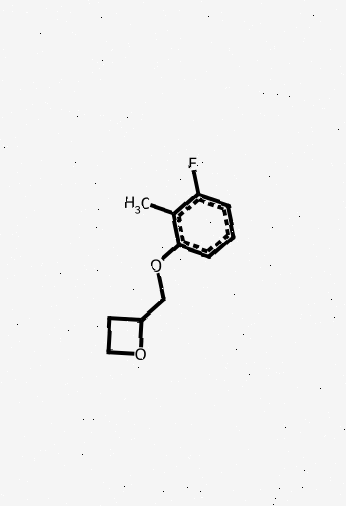 Cc1c(F)cccc1OCC1CCO1